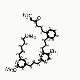 C=CC(=O)CCCc1ccccc1CCCc1nc(CCCc2cc(CCCCCOC)nc(OC)c2)ncc1C